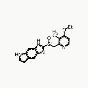 CCOc1ccnc(C[S+]([O-])c2nc3cc4cc[nH]c4cc3[nH]2)c1C